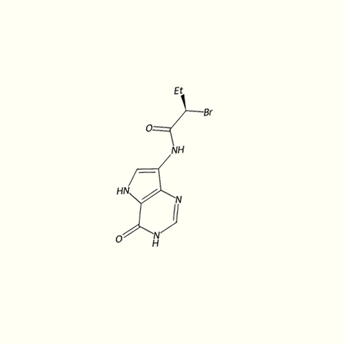 CC[C@@H](Br)C(=O)Nc1c[nH]c2c(=O)[nH]cnc12